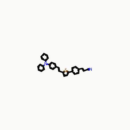 N#C[C]=Cc1ccc(-c2ccc(C=Cc3ccc(N(c4ccccc4)c4ccccc4)cc3)s2)cc1